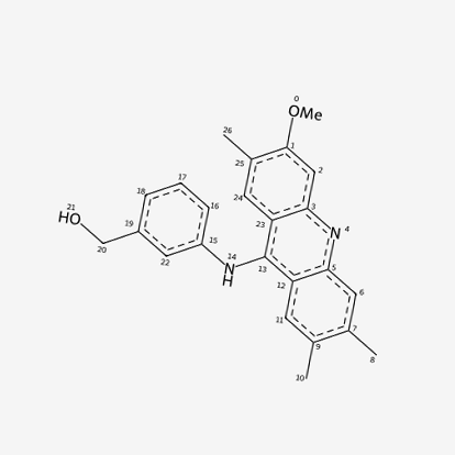 COc1cc2nc3cc(C)c(C)cc3c(Nc3cccc(CO)c3)c2cc1C